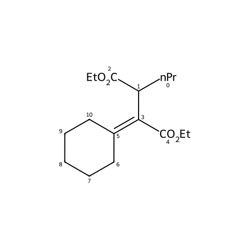 CCCC(C(=O)OCC)C(C(=O)OCC)=C1CCCCC1